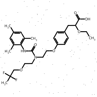 CCOC(Cc1ccc(OCCN(CCOCC(C)(F)F)C(=O)Nc2c(C)cc(C)cc2C)cc1)C(=O)O